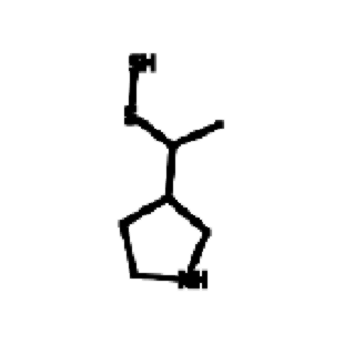 CC(SS)C1CCNC1